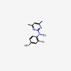 CCCc1ccc(N(CC)c2nc(C)cc(C)n2)c(Br)c1